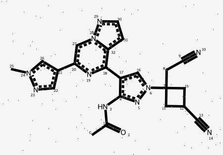 CC(=O)Nc1nn(C2(CC#N)CC(C#N)C2)cc1-c1nc(-c2cnn(C)c2)cn2nccc12